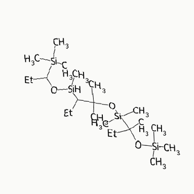 CCC([SiH](C)OC(CC)[Si](C)(C)C)C(C)(C)O[Si](C)(C)C(C)(CC)O[Si](C)(C)C